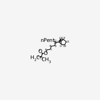 C=C(C)C(=O)OCCCCC(CCCCC)C1=CC2CCC1C2